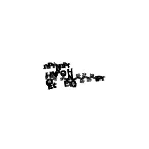 CCCN(CCC)P(NCOCC)OCC(CC)NC(=O)CCCCCC(C)C